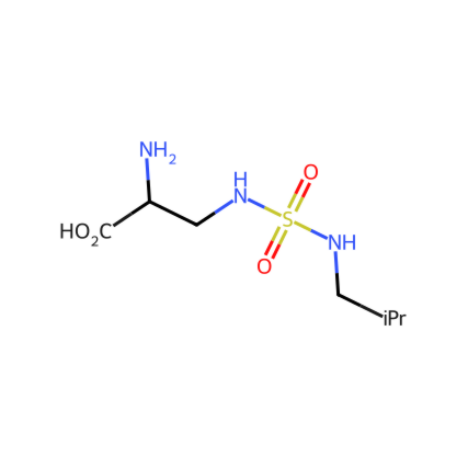 CC(C)CNS(=O)(=O)NCC(N)C(=O)O